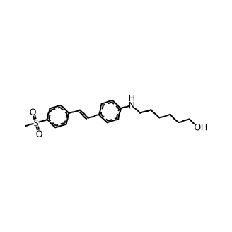 CS(=O)(=O)c1ccc(C=Cc2ccc(NCCCCCCO)cc2)cc1